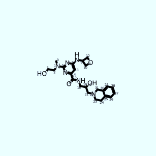 CN(CCO)c1nc(NC2COC2)cc(C(=O)NCC(O)CN2CCc3ccccc3C2)n1